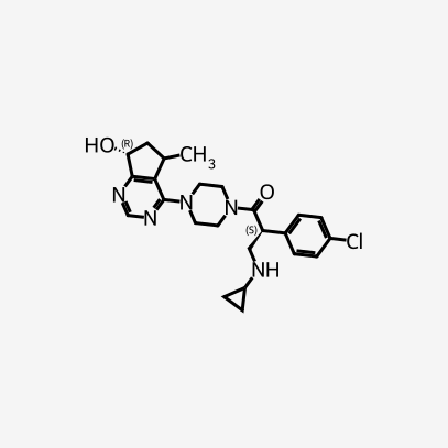 CC1C[C@@H](O)c2ncnc(N3CCN(C(=O)[C@H](CNC4CC4)c4ccc(Cl)cc4)CC3)c21